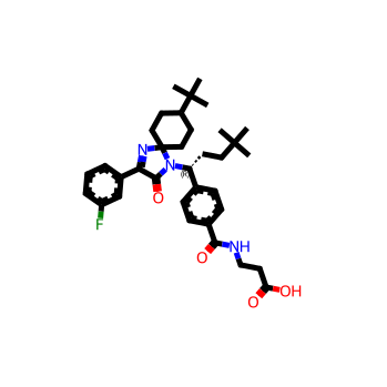 CC(C)(C)CC[C@H](c1ccc(C(=O)NCCC(=O)O)cc1)N1C(=O)C(c2cccc(F)c2)=NC12CCC(C(C)(C)C)CC2